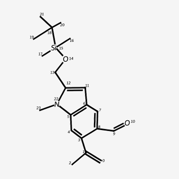 C=C(C)c1cc2c(cc1C=O)cc(CO[Si](C)(C)C(C)(C)C)n2C